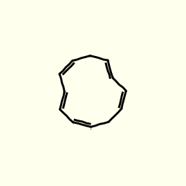 [C]1=C/C=C/C=C\C/C=C/C=C\C\1